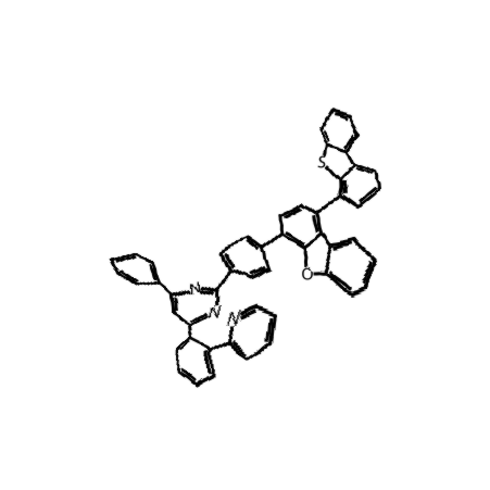 c1ccc(-c2cc(-c3ccccc3-c3ccccn3)nc(-c3ccc(-c4ccc(-c5cccc6c5sc5ccccc56)c5c4oc4ccccc45)cc3)n2)cc1